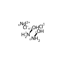 NO.NO.[Cl-].[Cl-].[Nd+2]